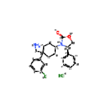 Cl.NCC1(c2cccc(Cl)c2)CCC(N2C(=O)OC[C@H]2c2ccccc2)CC1